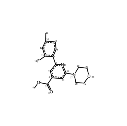 COC(=O)c1cc(-c2ccc(C)cc2F)nc(N2CCOCC2)c1